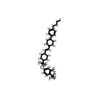 CCCCc1ccc(C2CCC(/C=C/C3CCC(C(F)(F)Oc4ccc(C(F)(F)F)c(F)c4)CC3)CC2)cc1